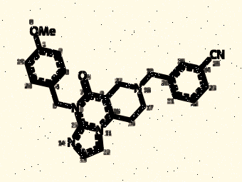 COc1ccc(Cn2c(=O)c3c(n4ccnc24)CCN(Cc2cccc(C#N)c2)C3)cc1